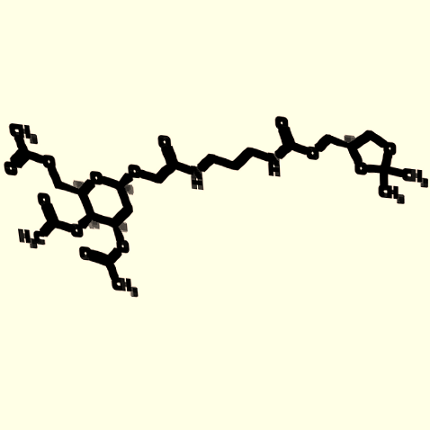 CC(=O)OC[C@H]1O[C@@H](OCC(=O)NCCCNC(=O)OC[C@H]2COC(C)(C)O2)C[C@@H](OC(C)=O)[C@H]1OC(C)=O